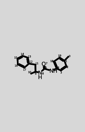 Cc1ccc(NC(=O)NC(C)Cc2ccccc2)cc1